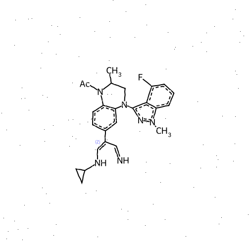 CC(=O)N1c2ccc(/C(C=N)=C/NC3CC3)cc2N(c2nn(C)c3cccc(F)c23)CC1C